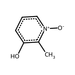 Cc1c(O)ccc[n+]1[O-]